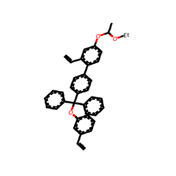 C=Cc1cccc(OC(c2ccccc2)(c2ccccc2)c2ccc(-c3ccc(OC(C)OCC)cc3C=C)cc2)c1